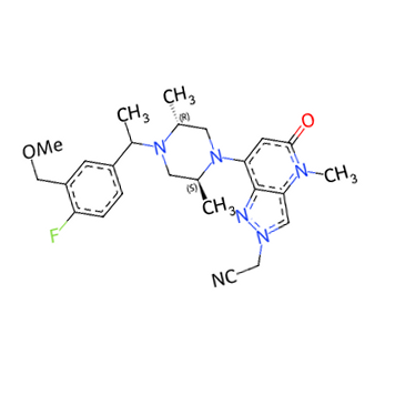 COCc1cc(C(C)N2C[C@H](C)N(c3cc(=O)n(C)c4cn(CC#N)nc34)C[C@H]2C)ccc1F